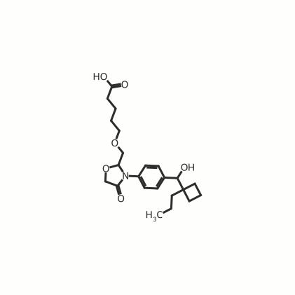 CCCC1(C(O)c2ccc(N3C(=O)COC3COCCCCC(=O)O)cc2)CCC1